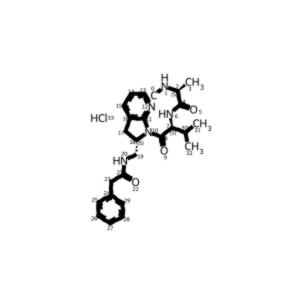 CN[C@@H](C)C(=O)N[C@H](C(=O)N1c2ncccc2C[C@H]1CNC(=O)Cc1ccccc1)C(C)C.Cl